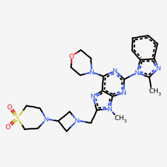 Cc1nc2ccccc2n1-c1nc(N2CCOCC2)c2nc(CN3CC(N4CCS(=O)(=O)CC4)C3)n(C)c2n1